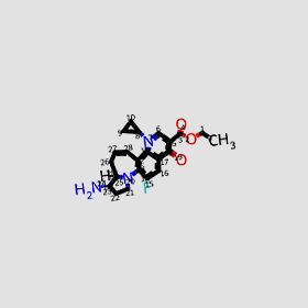 CCOC(=O)c1cn(C2CC2)c2c3c(c(F)cc2c1=O)N1CC[C@@H](N)[C@H]1CC=C3